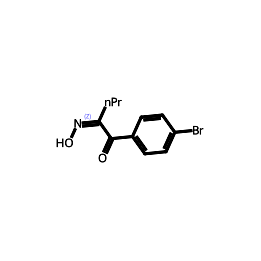 CCC/C(=N/O)C(=O)c1ccc(Br)cc1